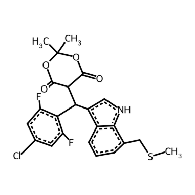 CSCc1cccc2c(C(c3c(F)cc(Cl)cc3F)C3C(=O)OC(C)(C)OC3=O)c[nH]c12